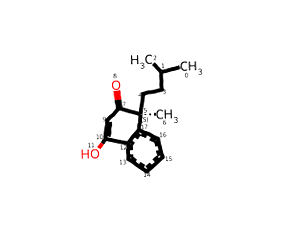 CC(C)CC[C@]1(C)C(=O)C=C(O)c2ccccc21